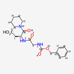 O=C(O)C[C@H](NC(=O)CNC(=O)OCc1ccccc1)C(=O)N1CCCCC1